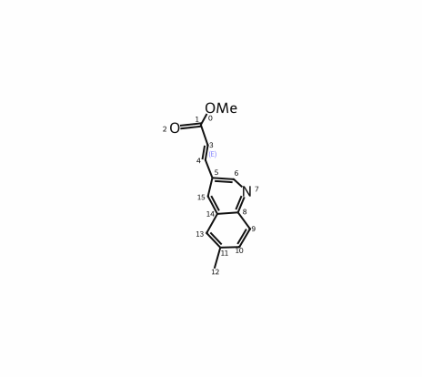 COC(=O)/C=C/c1cnc2ccc(C)cc2c1